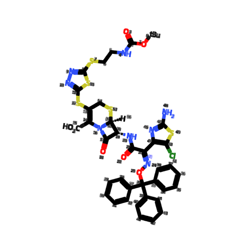 CC(C)(C)OC(=O)NCCSc1nnc(SC2=C(C(=O)O)N3C(=O)[C@@H](NC(=O)/C(=N\OC(c4ccccc4)(c4ccccc4)c4ccccc4)c4nc(N)sc4Cl)[C@@H]3SC2)s1